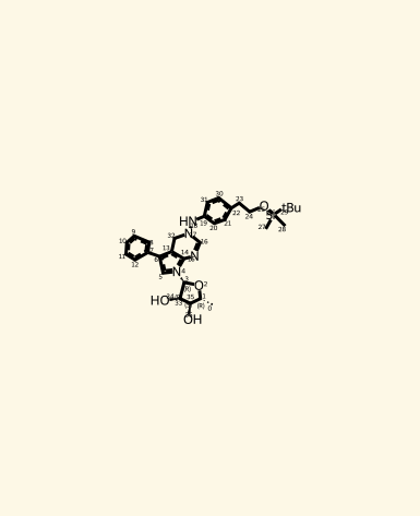 C[C@H]1O[C@@H](n2cc(-c3ccccc3)c3c2N=CN(Nc2ccc(CCO[Si](C)(C)C(C)(C)C)cc2)C3)[C@H](O)[C@@H]1O